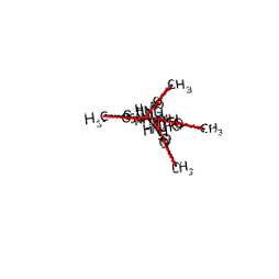 CCCCCCCCCCCCCCOC(=O)CCSCCCC(=N)NCCCN(CCCCN(CCCNC(=N)CCCSCCC(=O)OCCCCCCCCCCCCCC)CCCNC(=N)CCCSCCC(=O)OCCCCCCCCCCCCCC)CCCNC(=N)CCCSCCC(=O)OCCCCCCCCCCCCCC